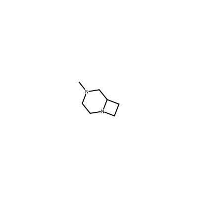 CN1CCN2CCC2C1